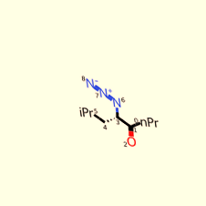 CCCC(=O)[C@H](CC(C)C)N=[N+]=[N-]